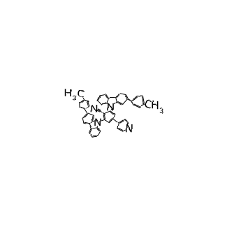 Cc1ccc(-c2ccc3c4ccccc4n(-c4cc(-c5ccncc5)cc(-n5c6ccccc6c6ccc(-c7ccc(C)cc7)cc65)c4C#N)c3c2)cc1